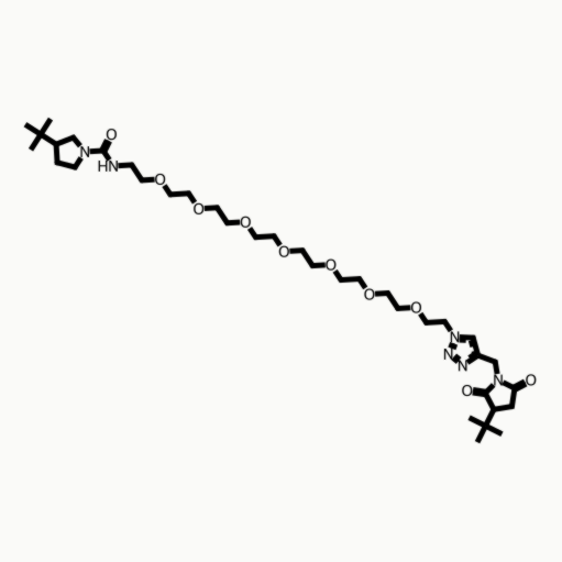 CC(C)(C)C1CCN(C(=O)NCCOCCOCCOCCOCCOCCOCCOCCn2cc(CN3C(=O)CC(C(C)(C)C)C3=O)nn2)C1